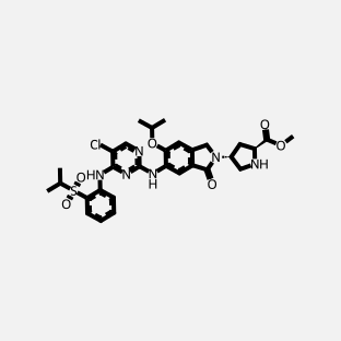 COC(=O)[C@@H]1C[C@@H](N2Cc3cc(OC(C)C)c(Nc4ncc(Cl)c(Nc5ccccc5S(=O)(=O)C(C)C)n4)cc3C2=O)CN1